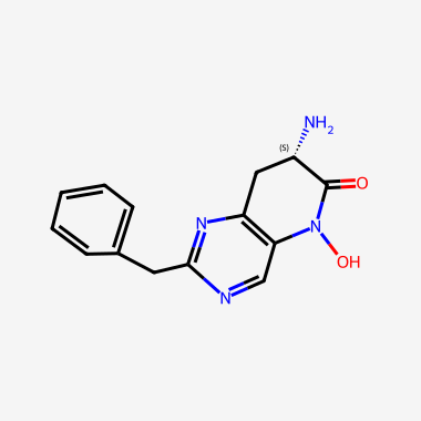 N[C@H]1Cc2nc(Cc3ccccc3)ncc2N(O)C1=O